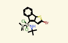 C[SiH](C)[Zr]([Cl])([Cl])([NH]C(C)(C)C)[C]1=C2C=C(Br)SC2c2ccccc21